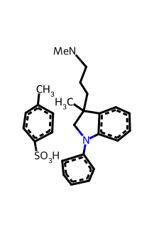 CNCCCC1(C)CN(c2ccccc2)c2ccccc21.Cc1ccc(S(=O)(=O)O)cc1